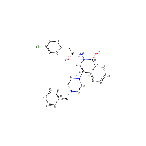 O=C(Cc1ccc(Cl)cc1)Nn1nc(N2CCN(Cc3ccccc3)CC2)c2ccccc2c1=O